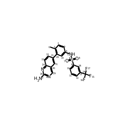 Cc1ccc(NS(=O)(=O)c2cccc(C(F)(F)F)c2)cc1-c1ccc2nc(N)ncc2c1